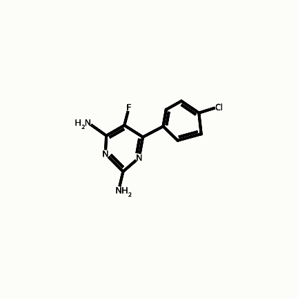 Nc1nc(N)c(F)c(-c2ccc(Cl)cc2)n1